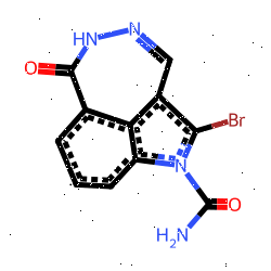 NC(=O)n1c(Br)c2c3c(c[c]cc31)C(=O)NN=C2